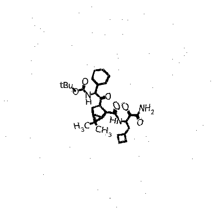 CC(C)(C)OC(=O)N[C@H](C(=O)C1CC2C(C1C(=O)NC(CC1CCC1)C(=O)C(N)=O)C2(C)C)C1CCCCC1